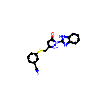 N#Cc1cccc(SCc2cc(=O)n(-c3nc4ccccc4[nH]3)[nH]2)c1